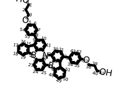 OCCCOc1ccc(-c2ccc3c4c2-c2ccccc2B4c2cccc4c2N3c2ccc(-c3ccc(OCCCO)cc3)c3c2B4c2ccccc2-3)cc1